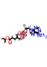 CC(C)OC(=O)CCC1COP(=O)(CO[C@H](C)Cn2cnc3c(N)ncnc32)OC1